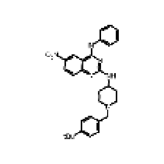 CC(C)(C)c1ccc(CN2CCC(Nc3nc(Nc4ccccc4)c4cc([N+](=O)[O-])ccc4n3)CC2)cc1